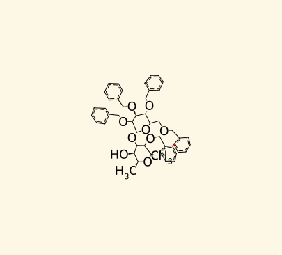 CC1O[C@@H](C)[C@@H](O)C(O[C@@H]2OC(COCc3ccccc3)[C@@H](OCc3ccccc3)[C@H](OCc3ccccc3)C2OCc2ccccc2)[C@H]1OCc1ccccc1